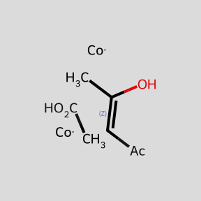 CC(=O)/C=C(/C)O.CC(=O)O.[Co].[Co]